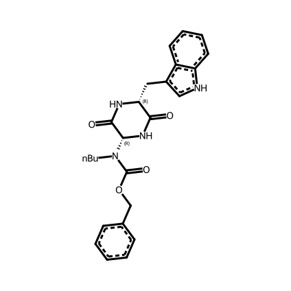 CCCCN(C(=O)OCc1ccccc1)[C@H]1NC(=O)[C@@H](Cc2c[nH]c3ccccc23)NC1=O